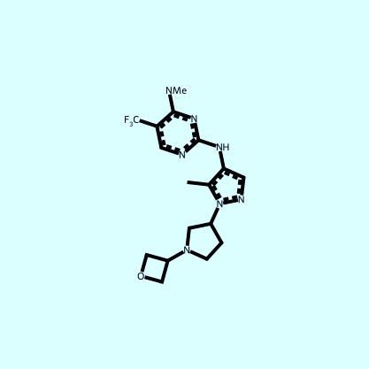 CNc1nc(Nc2cnn(C3CCN(C4COC4)C3)c2C)ncc1C(F)(F)F